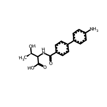 C[C@@H](O)C(NC(=O)c1ccc(-c2ccc(N)cc2)cc1)C(=O)O